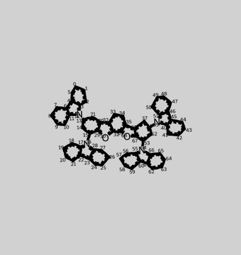 c1ccc2c(c1)c1ccccc1n2-c1cc(-n2c3ccccc3c3ccccc32)c2oc3c(ccc4c5cc(-n6c7ccccc7c7ccccc76)cc(-n6c7ccccc7c7ccccc76)c5oc43)c2c1